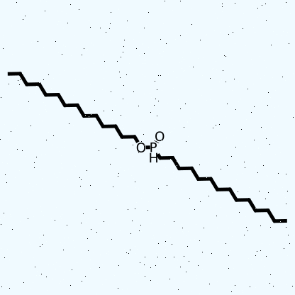 CCCCCCCCCCCCCCO[PH](=O)CCCCCCCCCCCCCC